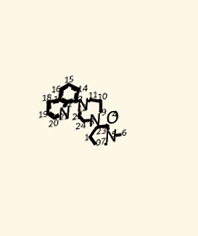 CCC(C(=O)N(C)C)N1CCCN(c2cccc3cccnc23)CC1